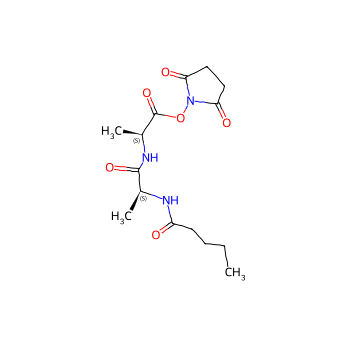 CCCCC(=O)N[C@@H](C)C(=O)N[C@@H](C)C(=O)ON1C(=O)CCC1=O